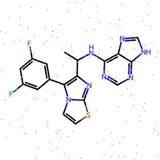 CC(Nc1ncnc2[nH]cnc12)c1nc2sccn2c1-c1cc(F)cc(F)c1